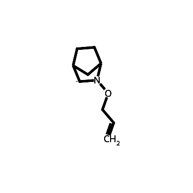 C=CCON1[CH]C2CCC1C2